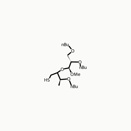 CCCCOC[C@H](OCCCC)[C@@H](OC)OC(CS)[C@H](C)OCCCC